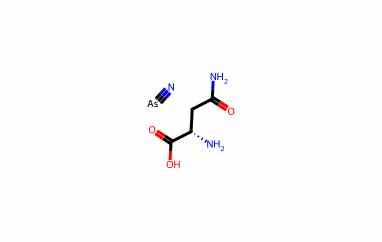 N#[As].NC(=O)C[C@H](N)C(=O)O